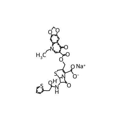 CCn1cc(C(=O)OCC2=C(C(=O)[O-])N3C(=O)[C@@H](NC(=O)Cc4cccs4)[C@H]3SC2)c(=O)c2cc3c(cc21)OCO3.[Na+]